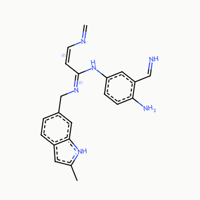 C=N/C=C\C(=N/Cc1ccc2cc(C)[nH]c2c1)Nc1ccc(N)c(C=N)c1